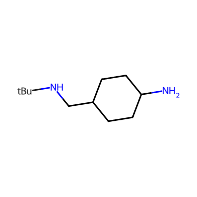 CC(C)(C)NCC1CCC(N)CC1